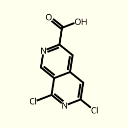 O=C(O)c1cc2cc(Cl)nc(Cl)c2cn1